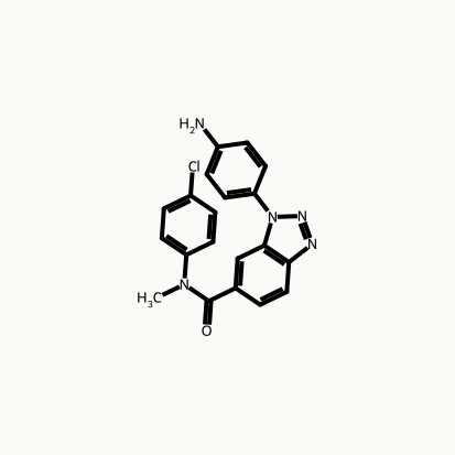 CN(C(=O)c1ccc2nnn(-c3ccc(N)cc3)c2c1)c1ccc(Cl)cc1